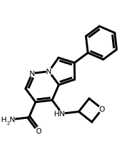 NC(=O)c1cnn2cc(-c3ccccc3)cc2c1NC1COC1